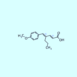 CCCC(/C=C/C(=O)O)=C\c1ccc(OC)cc1